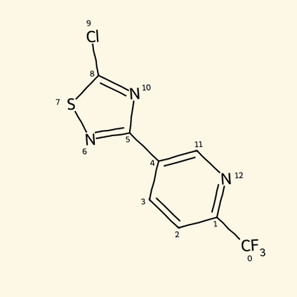 FC(F)(F)c1ccc(-c2nsc(Cl)n2)cn1